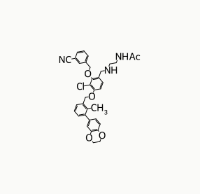 CC(=O)NCCNCc1ccc(OCc2cccc(-c3ccc4c(c3)OCCO4)c2C)c(Cl)c1OCc1cccc(C#N)c1